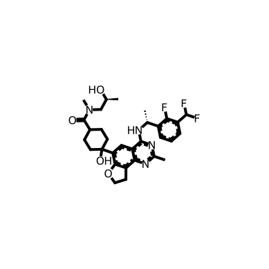 Cc1nc(N[C@H](C)c2cccc(C(F)F)c2F)c2cc(C3(O)CCC(C(=O)N(C)C[C@H](C)O)CC3)c3c(c2n1)CCO3